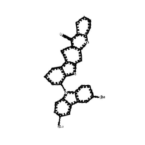 CC(C)(C)c1ccc2c(c1)c1cc(C(C)(C)C)ccc1n2-c1cccc2c1sc1cc3oc4ccccc4c(=O)c3cc12